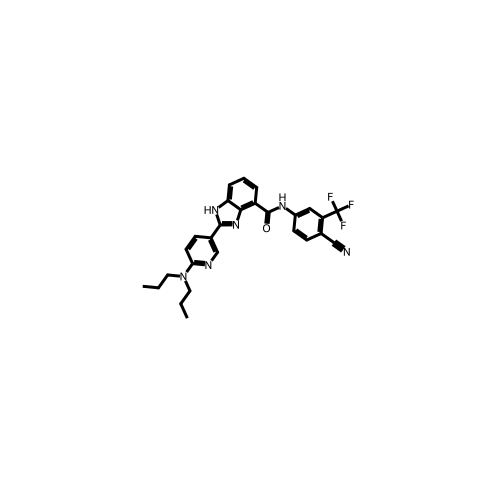 CCCN(CCC)c1ccc(-c2nc3c(C(=O)Nc4ccc(C#N)c(C(F)(F)F)c4)cccc3[nH]2)cn1